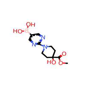 COC(=O)C1(O)CCN(c2ncc(B(O)O)cn2)CC1